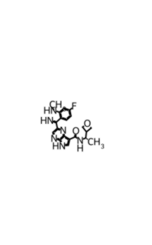 CNc1cc(F)ccc1C(=N)c1cnc2[nH]cc(C(=O)N[C@H](C)C3COC3)c2n1